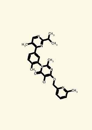 Cc1cccc(COc2nc(C)n(-c3cc(-c4nc(C(C)C)ncc4C)ccc3C)c(=O)c2Cl)n1